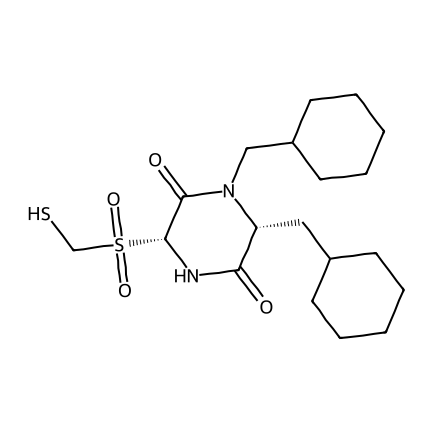 O=C1N[C@H](S(=O)(=O)CS)C(=O)N(CC2CCCCC2)[C@@H]1CC1CCCCC1